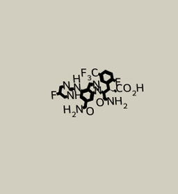 NC(=O)c1cc(NC2=NCC(F)CN2)c2cnn(C(C(N)=O)[C@@H](CC(=O)O)c3cc(C(F)(F)F)ccc3F)c2c1